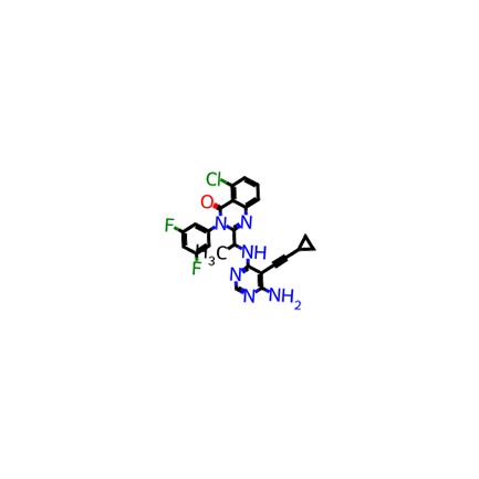 CC(Nc1ncnc(N)c1C#CC1CC1)c1nc2cccc(Cl)c2c(=O)n1-c1cc(F)cc(F)c1